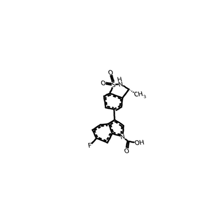 C[C@H]1NS(=O)(=O)c2ccc(-c3cn(C(=O)O)c4cc(F)ccc34)cc21